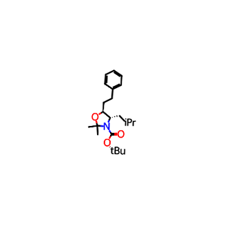 CC(C)C[C@H]1[C@H](CCc2ccccc2)OC(C)(C)N1C(=O)OC(C)(C)C